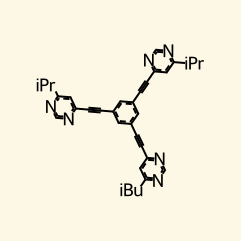 CCC(C)c1cc(C#Cc2cc(C#Cc3cc(C(C)C)ncn3)cc(C#Cc3cc(C(C)C)ncn3)c2)ncn1